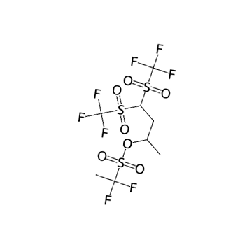 CC(CC(S(=O)(=O)C(F)(F)F)S(=O)(=O)C(F)(F)F)OS(=O)(=O)C(C)(F)F